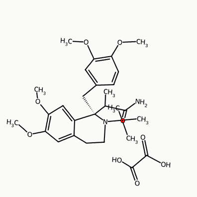 COc1ccc(C[C@@]2(C(C)C(N)=O)c3cc(OC)c(OC)cc3CCN2C(C)(C)C)cc1OC.O=C(O)C(=O)O